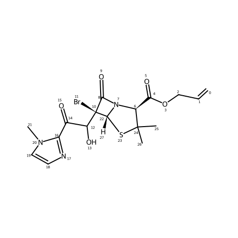 C=CCOC(=O)[C@@H]1N2C(=O)[C@@](Br)(C(O)C(=O)c3nccn3C)[C@H]2SC1(C)C